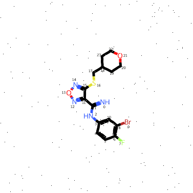 N=C(Nc1ccc(F)c(Br)c1)c1nonc1SCC1CCOCC1